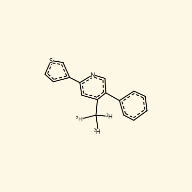 [2H]C([2H])([2H])c1cc(-c2ccsc2)ncc1-c1ccccc1